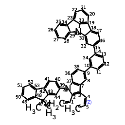 C=Cc1c(/C=C\C)c2cc(-c3cccc(-c4ccc5c6cccc7c8ccccc8n(c5c4)c76)c3)ccc2n1-c1ccc2c(c1)C(C)(C)c1ccccc1-2